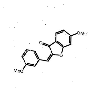 COc1cccc(C=C2Oc3cc(OC)ccc3C2=O)c1